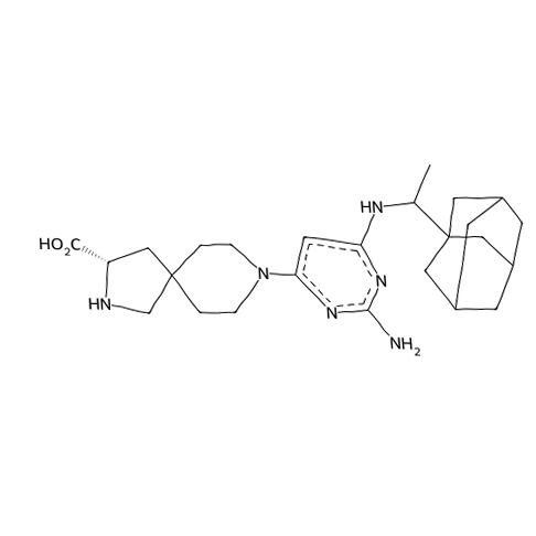 CC(Nc1cc(N2CCC3(CC2)CN[C@H](C(=O)O)C3)nc(N)n1)C12CC3CC(CC(C3)C1)C2